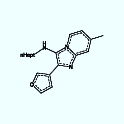 CCCCCCCNc1c(-c2ccoc2)nc2cc(C)ccn12